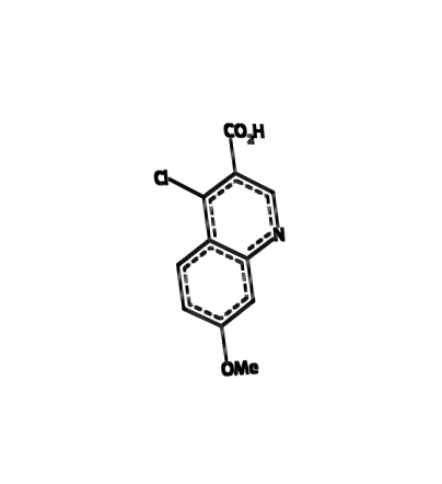 COc1ccc2c(Cl)c(C(=O)O)cnc2c1